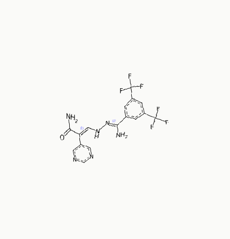 NC(=O)/C(=C/N/N=C(\N)c1cc(C(F)(F)F)cc(C(F)(F)F)c1)c1cncnc1